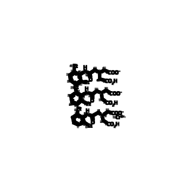 CCc1cccc(CC)c1NC(=O)CN(CC(=O)[O-])CC(=O)O.CCc1cccc(CC)c1NC(=O)CN(CC(=O)[O-])CC(=O)O.CCc1cccc(CC)c1NC(=O)CN(CC(=O)[O-])CC(=O)O.[Cr+3]